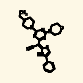 CCN1CCN(c2nc(/C(C#N)=C3/NC(c4ccccc4)=CS3)nc(N3CCOCC3)n2)CC1